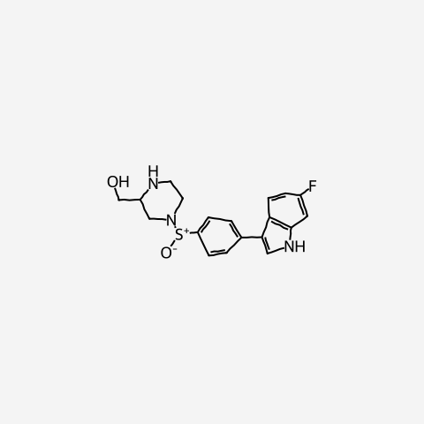 [O-][S+](c1ccc(-c2c[nH]c3cc(F)ccc23)cc1)N1CCNC(CO)C1